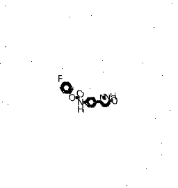 O=C(Nc1ccc(-c2ccc(=O)[nH]n2)cc1)Oc1ccc(F)cc1